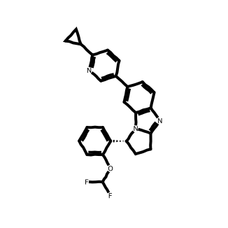 FC(F)Oc1ccccc1[C@H]1CCc2nc3ccc(-c4ccc(C5CC5)nc4)cc3n21